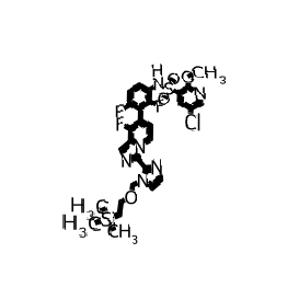 COc1ncc(Cl)cc1S(=O)(=O)Nc1ccc(F)c(-c2ccn3c(-c4nccn4COCC[Si](C)(C)C)ncc3c2F)c1F